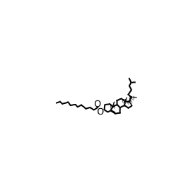 CCCCCCCCCCCC(=O)OC1CC[C@@]2(C)C(=CCC3C2CC[C@@]2(C)C3CC[C@@H]2[C@H](C)CCCC(C)C)C1